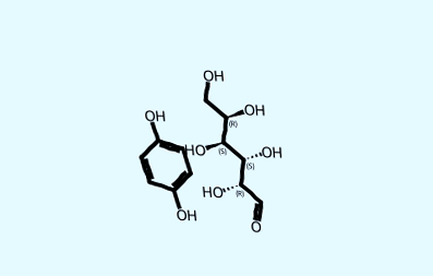 O=C[C@H](O)[C@@H](O)[C@@H](O)[C@H](O)CO.Oc1ccc(O)cc1